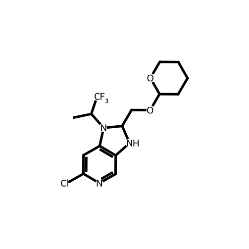 CC(N1c2cc(Cl)ncc2NC1COC1CCCCO1)C(F)(F)F